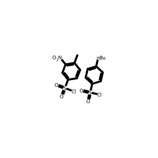 CCCCc1ccc(S(=O)(=O)Cl)cc1.Cc1ccc(S(=O)(=O)Cl)cc1[N+](=O)[O-]